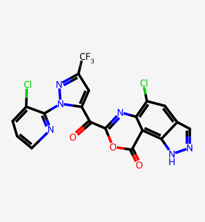 O=C(c1nc2c(Cl)cc3cn[nH]c3c2c(=O)o1)c1cc(C(F)(F)F)nn1-c1ncccc1Cl